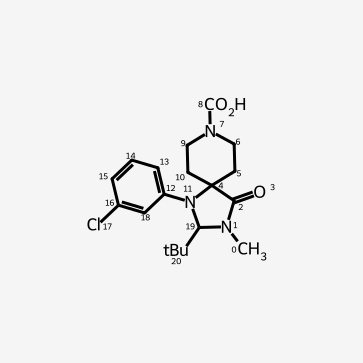 CN1C(=O)C2(CCN(C(=O)O)CC2)N(c2cccc(Cl)c2)C1C(C)(C)C